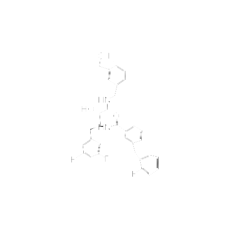 CCc1cccc(CNC[C@@H](O)[C@H](Cc2cc(F)cc(F)c2)NC(=O)c2cccc(Cc3ccccc3F)c2)c1